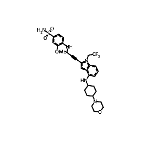 COc1cc(S(N)(=O)=O)ccc1NCC#Cc1cc2c(NC3CCC(N4CCOCC4)CC3)cccc2n1CC(F)(F)F